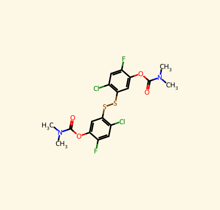 CN(C)C(=O)Oc1cc(SSc2cc(OC(=O)N(C)C)c(F)cc2Cl)c(Cl)cc1F